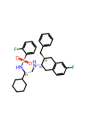 O=S(=O)(N[C@H](CN[C@H]1Cc2ccc(F)cc2C[C@@H]1Cc1ccccc1)C1CCCCC1)c1ccccc1F